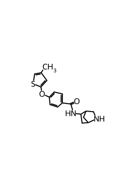 Cc1csc(Oc2ccc(C(=O)NC3CC4CC3CN4)cc2)c1